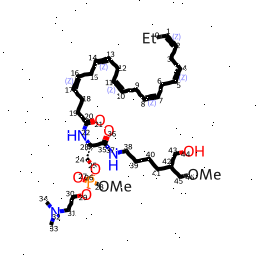 CC/C=C\C/C=C\C/C=C\C/C=C\C/C=C\C/C=C\CCC(=O)N[C@@H](COP(=O)(OC)OCCN(C)C)C(=O)NCCCCC(CO)COC